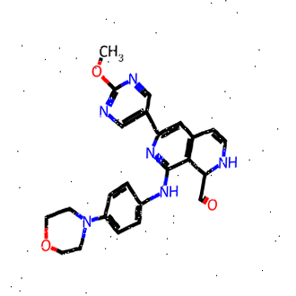 COc1ncc(-c2cc3c(c(Nc4ccc(N5CCOCC5)cc4)n2)C(C=O)NC=C3)cn1